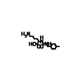 Cc1ccc(CNC(=O)NC(CCCCN)C(=O)O)cc1